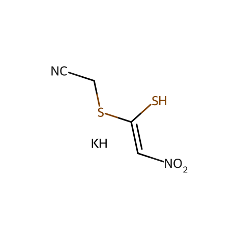 N#CCSC(S)=C[N+](=O)[O-].[KH]